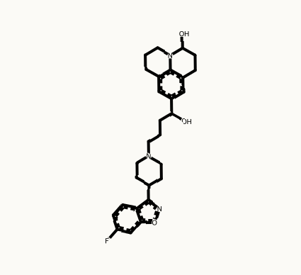 OC(CCCN1CCC(c2noc3cc(F)ccc23)CC1)c1cc2c3c(c1)CCC(O)N3CCC2